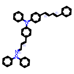 C(/C=C/c1ccc(N(c2ccccc2)c2ccc(/C=C/C=N/N(c3ccccc3)c3ccccc3)cc2)cc1)=C\c1ccccc1